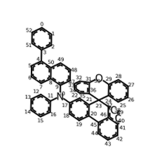 c1ccc(-c2cccc3c(N(c4ccccc4)c4ccc5c(c4)C4(c6ccccc6Oc6ccccc64)c4cccc6cccc-5c46)cccc23)cc1